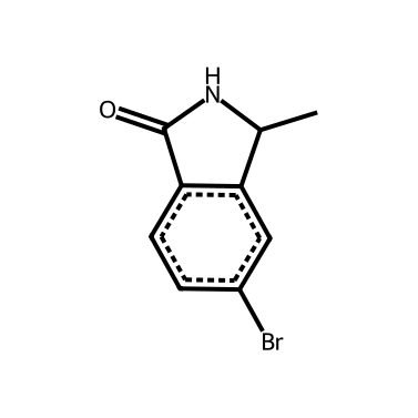 CC1NC(=O)c2ccc(Br)cc21